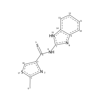 Cc1nc(C(=S)Nc2nc3ccccc3[nH]2)cs1